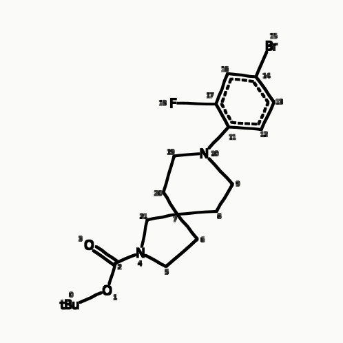 CC(C)(C)OC(=O)N1CCC2(CCN(c3ccc(Br)cc3F)CC2)C1